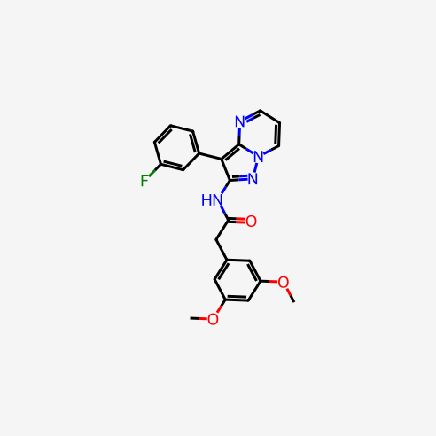 COc1cc(CC(=O)Nc2nn3cccnc3c2-c2cccc(F)c2)cc(OC)c1